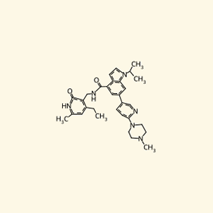 CCc1cc(C)[nH]c(=O)c1CNC(=O)c1cc(-c2ccc(N3CCN(C)CC3)nc2)cc2c1ccn2C(C)C